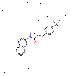 CC(C)(C)c1ccc(CCC(=O)Nc2ccc3ccccc3c2)cc1